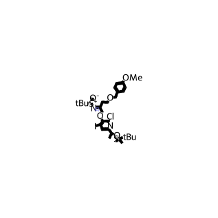 COc1ccc(COCC/C(COc2c(I)cc(C(C)O[Si](C)(C)C(C)(C)C)nc2Cl)=N\[S+]([O-])C(C)(C)C)cc1